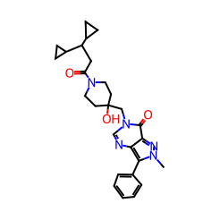 Cn1nc2c(=O)n(CC3(O)CCN(C(=O)CC(C4CC4)C4CC4)CC3)cnc2c1-c1ccccc1